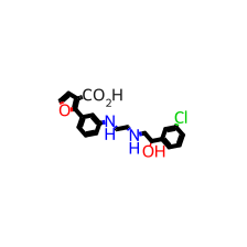 O=C(O)c1ccoc1-c1cccc(NCCNC[C@@H](O)c2cccc(Cl)c2)c1